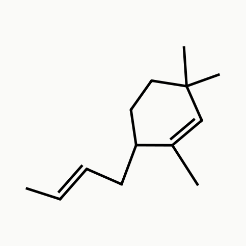 C/C=C/CC1CCC(C)(C)C=C1C